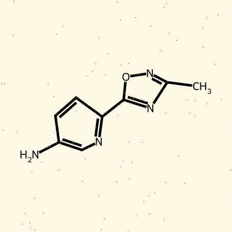 Cc1noc(-c2ccc(N)cn2)n1